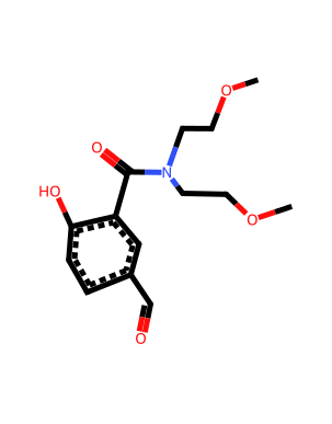 COCCN(CCOC)C(=O)c1cc(C=O)ccc1O